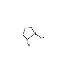 CCCN1CCC[C@H]1C(C)C